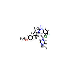 C=C(Nc1ccc(F)c(Cl)c1)N(CCCN1CCN(C)CC1)[C@@H]1CC[C@]2(c3ccc(OC(F)(F)F)cc3)C[C@H]12